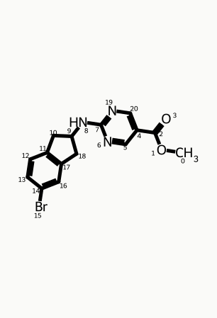 COC(=O)c1cnc(NC2Cc3ccc(Br)cc3C2)nc1